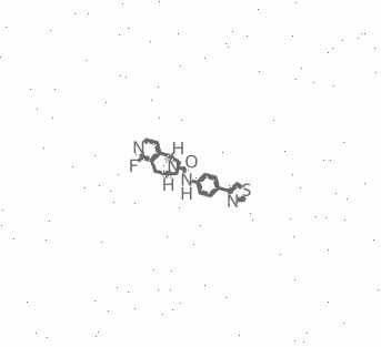 O=C(Nc1ccc(-c2cscn2)cc1)N1[C@H]2CC[C@@H]1c1ccnc(F)c1C2